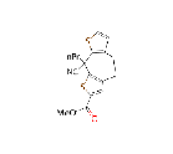 CCCC1(C#N)c2sccc2CCc2cc(C(=O)OC)sc21